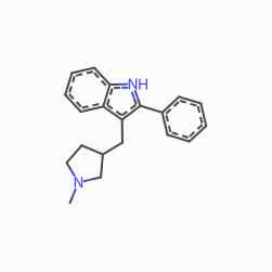 CN1CCC(Cc2c(-c3ccccc3)[nH]c3ccccc23)C1